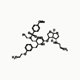 C=CCN[C@H]1CO[C@@H]2OC[C@H](OC(=O)N[C@@H](Cc3cccc(OCC=C)c3)[C@H](O)CN(CC(C)C)S(=O)(=O)c3ccc(OC)cc3)[C@@H]21